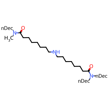 CCCCCCCCCCN(C)C(=O)CCCCCCCNCCCCCCCC(=O)N(CCCCCCCCCC)CCCCCCCCCC